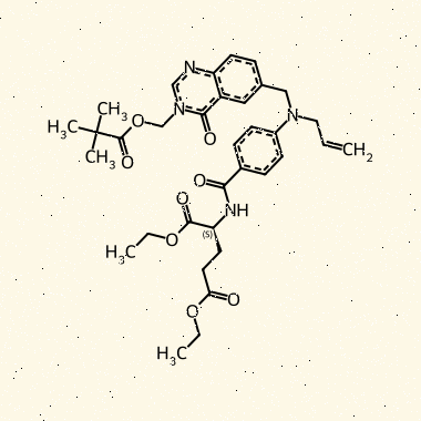 C=CCN(Cc1ccc2ncn(COC(=O)C(C)(C)C)c(=O)c2c1)c1ccc(C(=O)N[C@@H](CCC(=O)OCC)C(=O)OCC)cc1